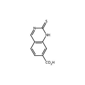 O=C(O)c1ccc2cnc(=S)[nH]c2c1